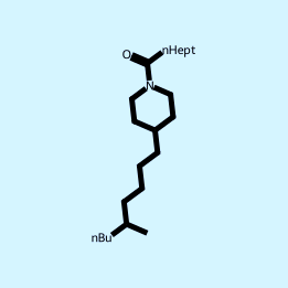 CCCCCCCC(=O)N1CCC(CCCCC(C)CCCC)CC1